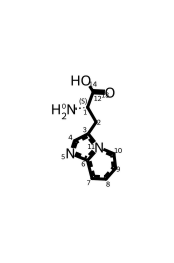 N[C@@H](Cc1cnc2ccccn12)C(=O)O